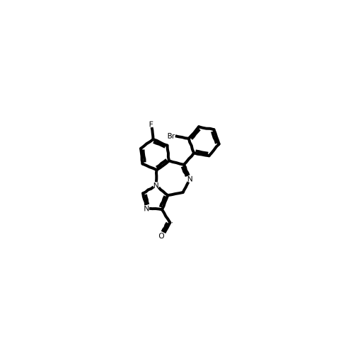 O=[C]c1ncn2c1CN=C(c1ccccc1Br)c1cc(F)ccc1-2